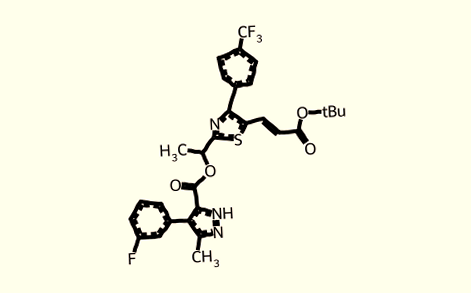 Cc1n[nH]c(C(=O)OC(C)c2nc(-c3ccc(C(F)(F)F)cc3)c(C=CC(=O)OC(C)(C)C)s2)c1-c1cccc(F)c1